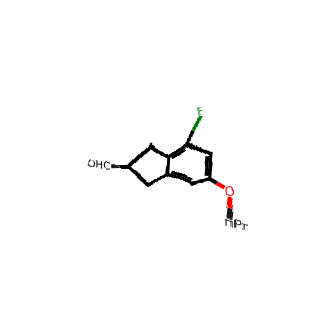 CCCOc1cc(F)c2c(c1)CC(C=O)C2